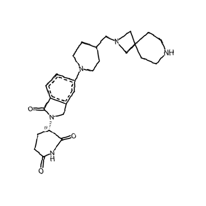 O=C1CC[C@H](N2Cc3cc(N4CCC(CN5CC6(CCNCC6)C5)CC4)ccc3C2=O)C(=O)N1